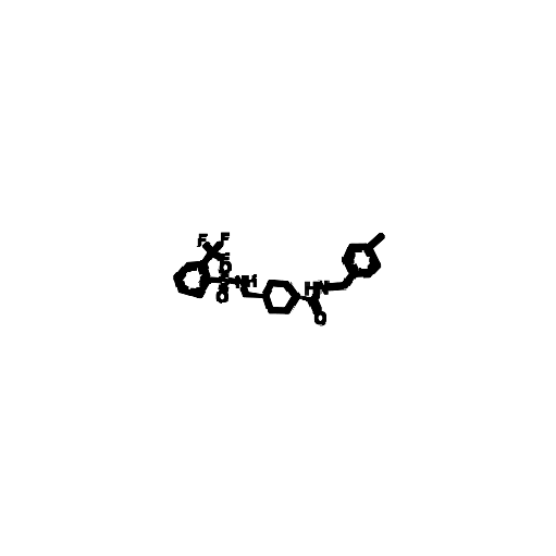 Cc1ccc(CNC(=O)[C@H]2CC[C@H](CNS(=O)(=O)c3ccccc3C(F)(F)F)CC2)cc1